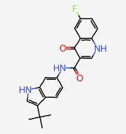 CC(C)(C)c1c[nH]c2cc(NC(=O)c3c[nH]c4ccc(F)cc4c3=O)ccc12